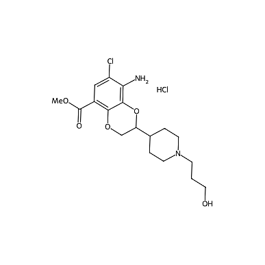 COC(=O)c1cc(Cl)c(N)c2c1OCC(C1CCN(CCCO)CC1)O2.Cl